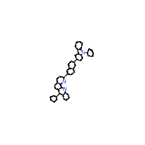 c1ccc(-c2c3ccccc3nc3c2ccc2ccc(-c4ccc5cc(-c6ccc7c(c6)c6ccccc6n7-c6ccccc6)ccc5c4)nc23)cc1